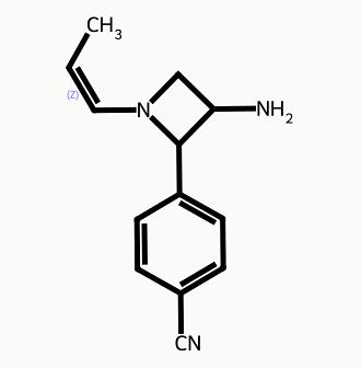 C/C=C\N1CC(N)C1c1ccc(C#N)cc1